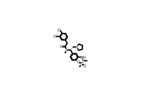 CN(C(=O)Cc1ccc(Cl)c(Cl)c1)[C@H](CN1CCCC1)c1cccc(NN(C)S(C)(=O)=O)c1